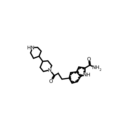 NC(=O)c1cc2cc(C[CH]C(=O)N3CCC(C4CCNCC4)CC3)ccc2[nH]1